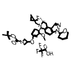 COc1cc(OC2CN(C(=O)OC(C)(C)C)C2)ccc1[C@@H]1c2ccc3c(cnn3C3CCCCO3)c2C[C@@H](C)N1CC1(F)CC1.O=C(O)C(F)(F)F